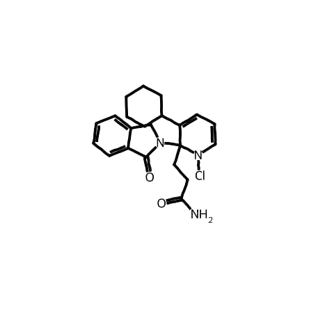 NC(=O)CCC1(N2Cc3ccccc3C2=O)C(C2CCCCC2)=CC=CN1Cl